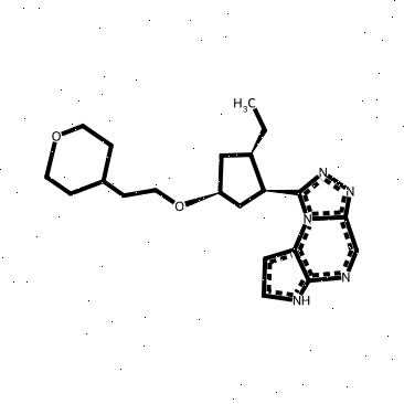 CC[C@@H]1C[C@H](OCCC2CCOCC2)C[C@@H]1c1nnc2cnc3[nH]ccc3n12